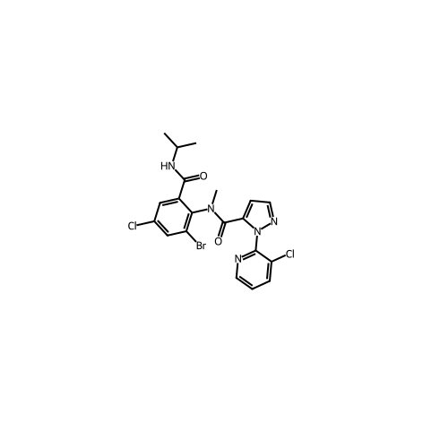 CC(C)NC(=O)c1cc(Cl)cc(Br)c1N(C)C(=O)c1ccnn1-c1ncccc1Cl